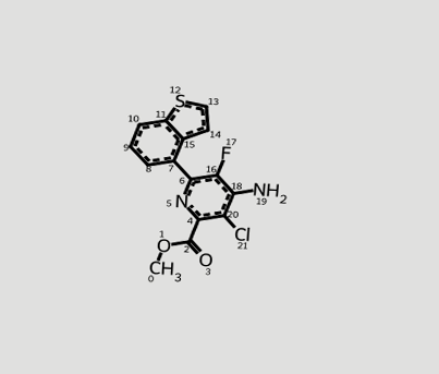 COC(=O)c1nc(-c2cccc3sccc23)c(F)c(N)c1Cl